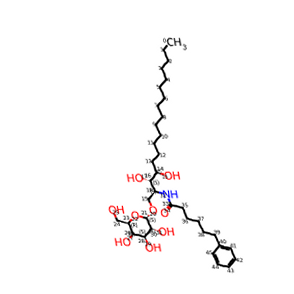 CCCCCCCCCCCCCC[C@@H](O)[C@@H](O)[C@H](CO[C@H]1O[C@H](CO)[C@H](O)[C@H](O)[C@H]1O)NC(=O)CCCCCc1ccccc1